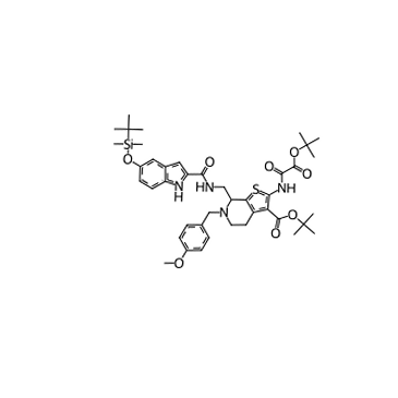 COc1ccc(CN2CCc3c(sc(NC(=O)C(=O)OC(C)(C)C)c3C(=O)OC(C)(C)C)C2CNC(=O)c2cc3cc(O[Si](C)(C)C(C)(C)C)ccc3[nH]2)cc1